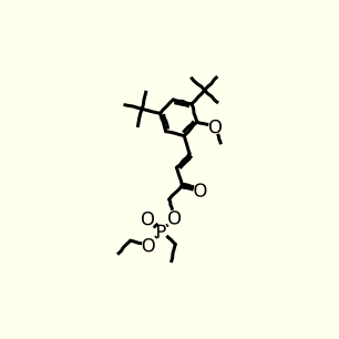 CCOP(=O)(CC)OCC(=O)C=Cc1cc(C(C)(C)C)cc(C(C)(C)C)c1OC